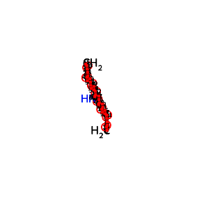 C=CC(=O)OCCCCOC(=O)C1CCC(C(=O)OC2CCC(C(=O)Oc3ccc(OC(=O)C4CCC(OC(=O)C5CCC(C(=O)OCCCCOC(=O)C=C)CC5)CC4)c(C=N)c3)CC2)CC1